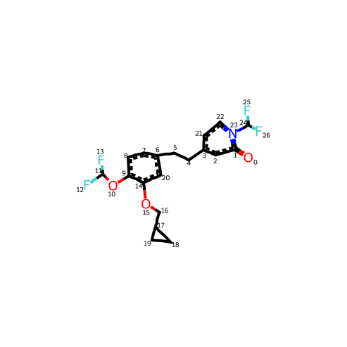 O=c1cc(CCc2ccc(OC(F)F)c(OCC3CC3)c2)ccn1C(F)F